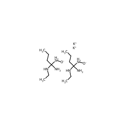 CCCC(N)(NCC)[SiH2][O-].CCCC(N)(NCC)[SiH2][O-].[K+].[K+]